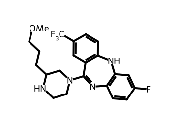 COCCCC1CN(C2=Nc3ccc(F)cc3Nc3ccc(C(F)(F)F)cc32)CCN1